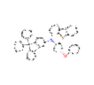 c1ccc(C2(c3ccccc3)c3ccccc3-c3cc(N(c4ccc5oc6ccccc6c5c4)c4cccc5c4sc4ccccc45)ccc32)cc1